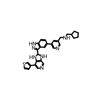 c1cc(-c2cncc3c2NC(c2n[nH]c4ccc(-c5cncc(CNCC6CCCC6)c5)cc24)N3)cs1